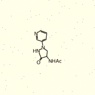 CC(=O)NC1CN(c2cccnc2)NC1=O